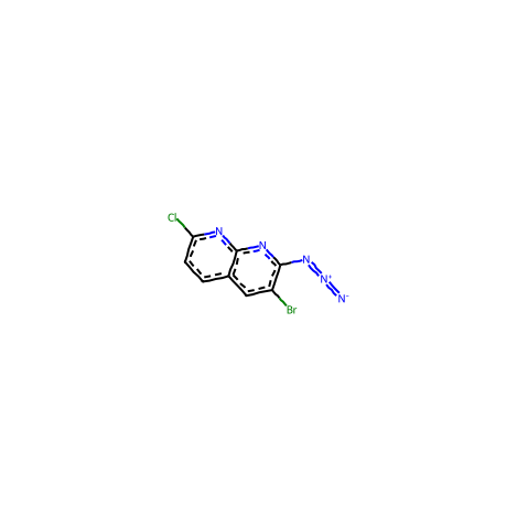 [N-]=[N+]=Nc1nc2nc(Cl)ccc2cc1Br